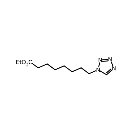 CCOC(=O)CCCCCCCn1cnnn1